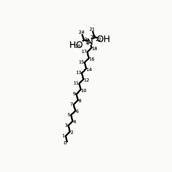 CCCCCCCCCCCCCCCCCCCN(C(C)O)C(C)O